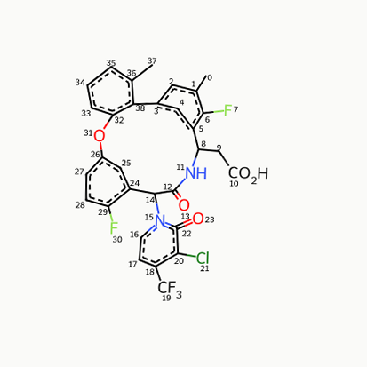 Cc1cc2cc(c1F)C(CC(=O)O)NC(=O)C(n1ccc(C(F)(F)F)c(Cl)c1=O)c1cc(ccc1F)Oc1cccc(C)c1-2